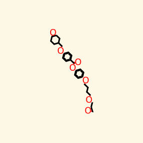 O=C(Oc1ccc(OCCCCOCC2CO2)cc1)c1ccc(OCC2CCC3OC3C2)cc1